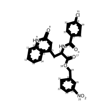 O=C(NC(Cc1cc(=O)[nH]c2ccccc12)C(=O)OCc1cccc([N+](=O)[O-])c1)c1ccc(Cl)cc1